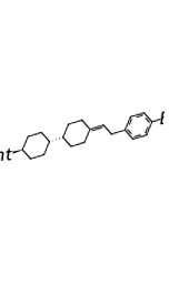 CCCCC[C@H]1CC[C@H](C2CCC(=CCc3ccc(Br)cc3)CC2)CC1